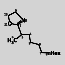 CCCCCCCCCCC(C)C1=NCCO1